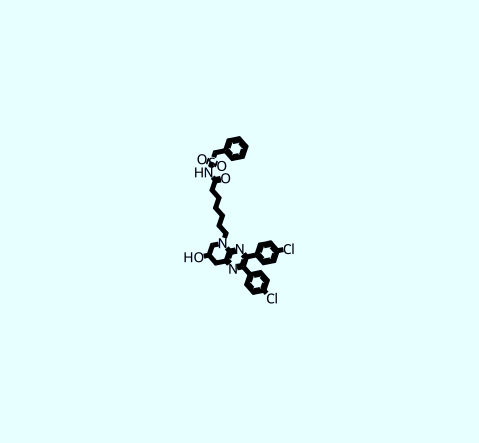 O=C(CCCCCCN1CC(O)Cc2nc(-c3ccc(Cl)cc3)c(-c3ccc(Cl)cc3)nc21)NS(=O)(=O)Cc1ccccc1